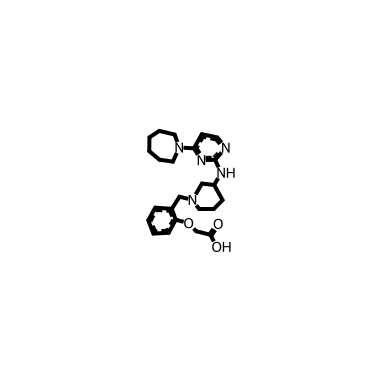 O=C(O)COc1ccccc1CN1CCCC(Nc2nccc(N3CCCCCC3)n2)C1